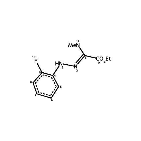 CCOC(=O)C(=NNc1ccccc1F)NC